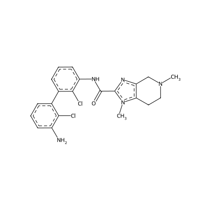 CN1CCc2c(nc(C(=O)Nc3cccc(-c4cccc(N)c4Cl)c3Cl)n2C)C1